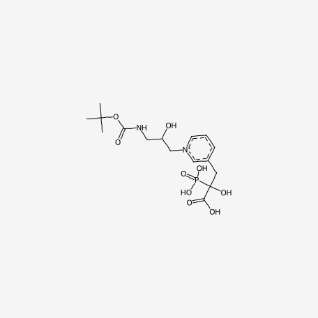 CC(C)(C)OC(=O)NCC(O)C[n+]1cccc(CC(O)(C(=O)O)P(=O)(O)O)c1